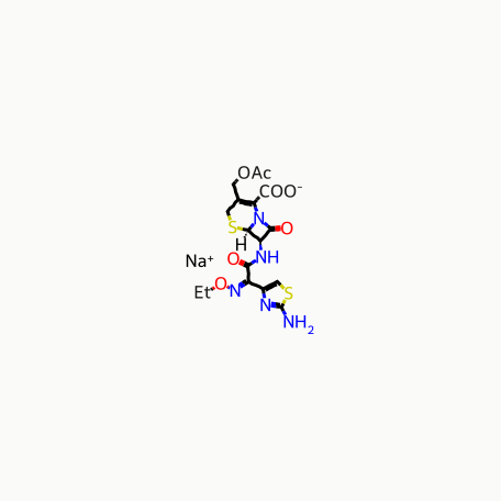 CCO/N=C(\C(=O)N[C@@H]1C(=O)N2C(C(=O)[O-])=C(COC(C)=O)CS[C@H]12)c1csc(N)n1.[Na+]